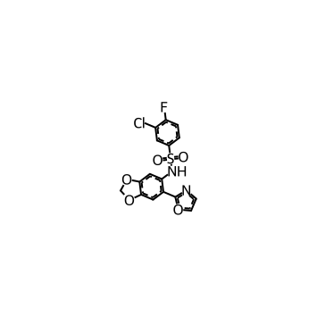 O=S(=O)(Nc1cc2c(cc1-c1ncco1)OCO2)c1ccc(F)c(Cl)c1